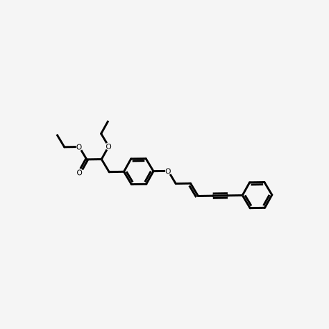 CCOC(=O)C(Cc1ccc(OCC=CC#Cc2ccccc2)cc1)OCC